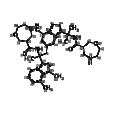 Cc1cc(CC(C)(NC(=O)C2CNCCOC2)c2nc(C)c3c(C)cccn23)cn2c(C(C)(C)NC(=O)C3CNCCOC3)ccc12